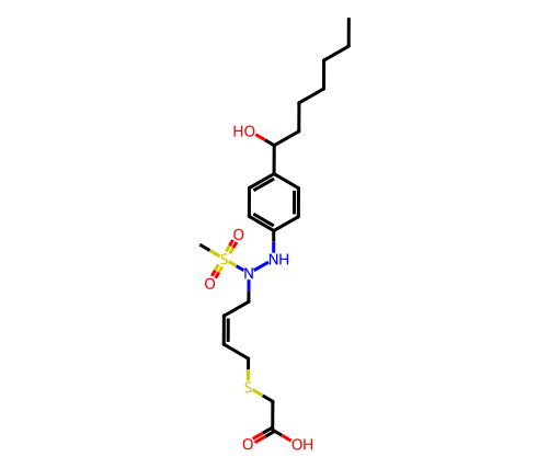 CCCCCCC(O)c1ccc(NN(C/C=C\CSCC(=O)O)S(C)(=O)=O)cc1